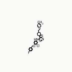 CN1CCN(CCC2CCc3c(sc4ncnc(Nc5ccc(OCc6ccc(F)cc6)c(Cl)c5)c34)C2)CC1